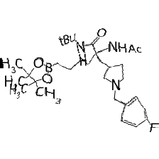 CC(=O)NC(CCCCB1OC(C)(C)C(C)(C)O1)(C(=O)NC(C)(C)C)C1CCN(Cc2ccc(F)cc2)C1